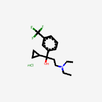 CCN(CC)CCC(O)(c1cccc(C(F)(F)F)c1)C1CC1.Cl